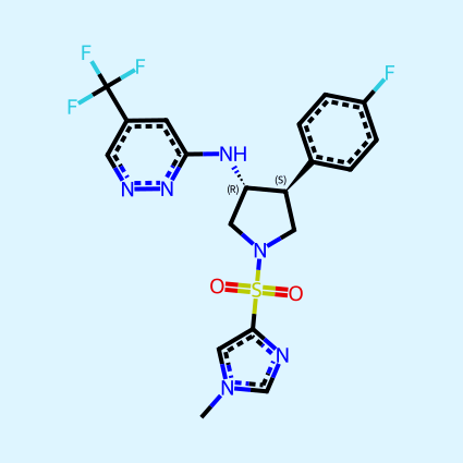 Cn1cnc(S(=O)(=O)N2C[C@H](Nc3cc(C(F)(F)F)cnn3)[C@@H](c3ccc(F)cc3)C2)c1